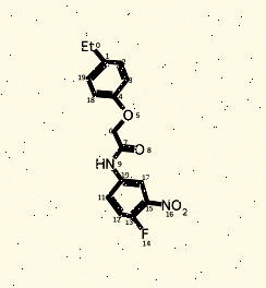 CCc1ccc(OCC(=O)Nc2ccc(F)c([N+](=O)[O-])c2)cc1